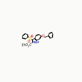 CCOC(=O)c1[nH]c2cc(OCc3ccccc3)ccc2c1S(=O)(=O)c1ccccc1